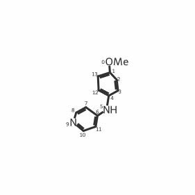 COc1ccc(Nc2ccncc2)cc1